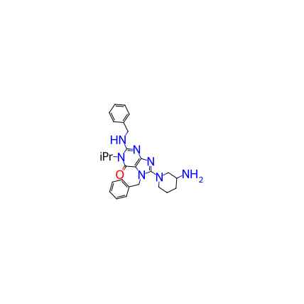 CC(C)n1c(NCc2ccccc2)nc2nc(N3CCCC(N)C3)n(Cc3ccccc3)c2c1=O